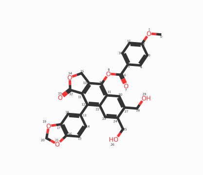 COc1ccc(C(=O)Oc2c3c(c(-c4ccc5c(c4)OCO5)c4cc(CO)c(CO)cc24)C(=O)OC3)cc1